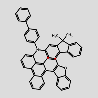 CC1(C)c2ccccc2-c2ccc(N(c3ccc(-c4ccccc4)cc3)c3cccc4c5ccccc5c5c(ccc6oc7ccccc7c65)c34)cc21